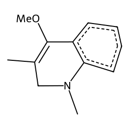 COC1=C(C)CN(C)c2ccccc21